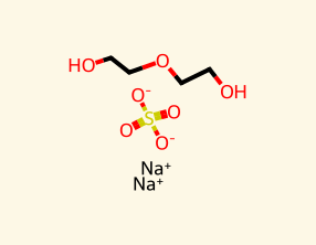 O=S(=O)([O-])[O-].OCCOCCO.[Na+].[Na+]